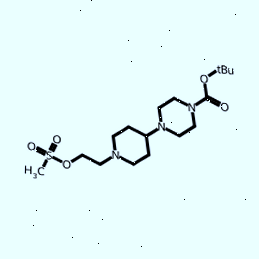 CC(C)(C)OC(=O)N1CCN(C2CCN(CCOS(C)(=O)=O)CC2)CC1